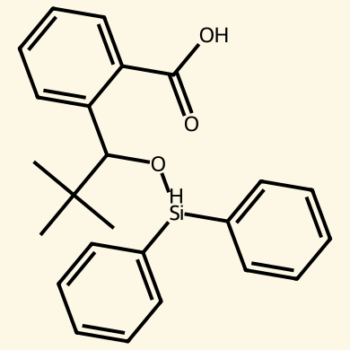 CC(C)(C)C(O[SiH](c1ccccc1)c1ccccc1)c1ccccc1C(=O)O